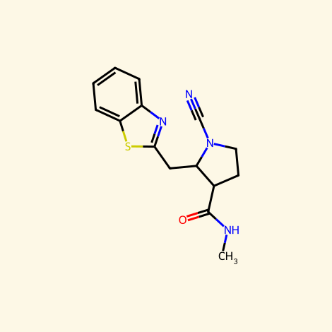 CNC(=O)C1CCN(C#N)C1Cc1nc2ccccc2s1